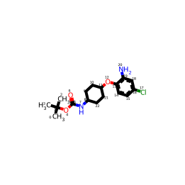 CC(C)(C)OC(=O)NC1CCC(Oc2ccc(Cl)cc2N)CC1